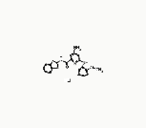 COc1ccccc1Nc1cc(N)cc(C(=O)NC2Cc3ccccc3C2)n1.Cl